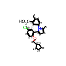 Cc1ccc(-n2c(C)ccc2-c2cc(Cl)ccc2OCC2CCCC2)cc1C(=O)O